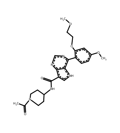 COCCOc1cc(OC)ccc1-c1ncnc2c(C(=O)NC3CCN(C(C)=O)CC3)c[nH]c12